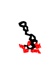 OC[C@H]1O[C@]2(OCc3ccc(Cc4ccc5ccccc5c4)cc32)[C@H](O)[C@@H](O)[C@@H]1O